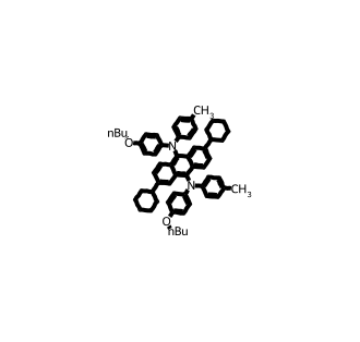 CCCCOc1ccc(N(c2ccc(C)cc2)c2c3ccc(C4CCCCC4)cc3c(N(c3ccc(C)cc3)c3ccc(OCCCC)cc3)c3ccc(C4CCCCC4)cc23)cc1